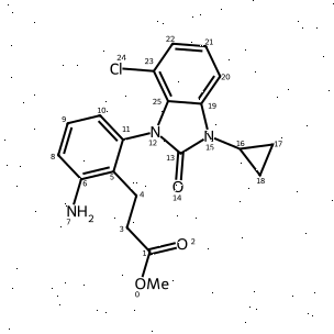 COC(=O)CCc1c(N)cccc1-n1c(=O)n(C2CC2)c2cccc(Cl)c21